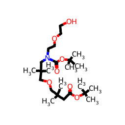 CC(C)(COCC(C)(C)CN(CCOCCO)C(=O)OC(C)(C)C)CC(=O)OC(C)(C)C